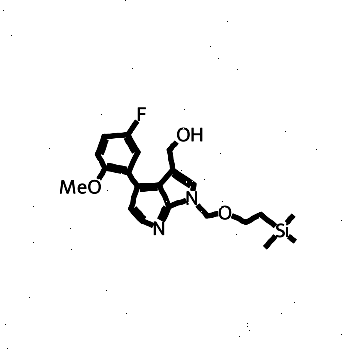 COc1ccc(F)cc1-c1ccnc2c1c(CO)cn2COCC[Si](C)(C)C